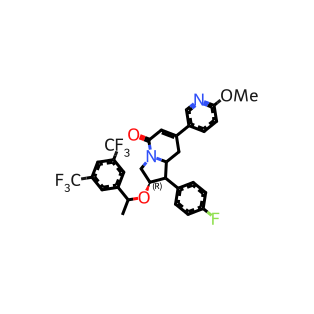 COc1ccc(C2=CC(=O)N3C[C@H](OC(C)c4cc(C(F)(F)F)cc(C(F)(F)F)c4)C(c4ccc(F)cc4)C3C2)cn1